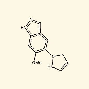 COc1cc2[nH]ncc2cc1N1CC=CN1